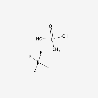 CP(=O)(O)O.F[B-](F)(F)F